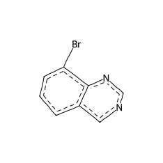 Brc1cccc2cncnc12